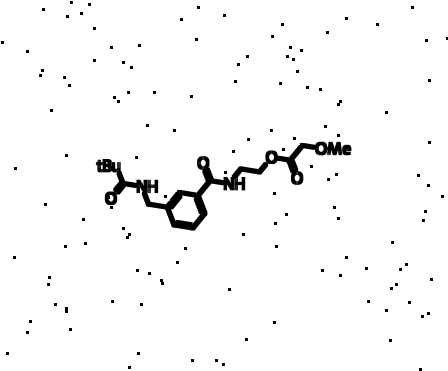 COCC(=O)OCCNC(=O)c1cccc(CNC(=O)C(C)(C)C)c1